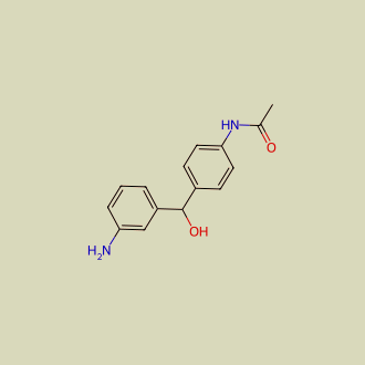 CC(=O)Nc1ccc(C(O)c2cccc(N)c2)cc1